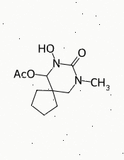 CC(=O)OC1N(O)C(=O)N(C)CC12CCCC2